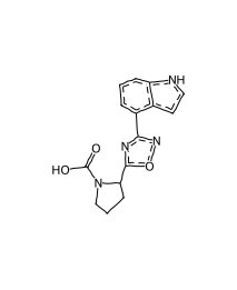 O=C(O)N1CCCC1c1nc(-c2cccc3[nH]ccc23)no1